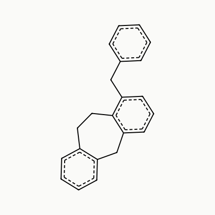 c1ccc(Cc2cccc3c2CCc2ccccc2C3)cc1